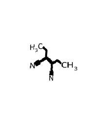 CC/C(C#N)=C(/C#N)CC